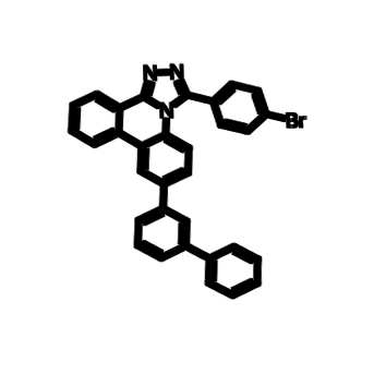 Brc1ccc(-c2nnc3c4ccccc4c4cc(-c5cccc(-c6ccccc6)c5)ccc4n23)cc1